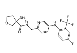 NC1(C(=O)NCc2ccc(Nc3ccc(F)cc3C(F)(F)F)cn2)CCOC1